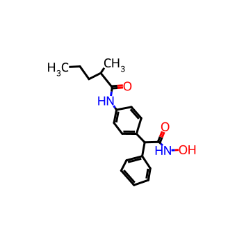 CCCC(C)C(=O)Nc1ccc(C(C(=O)NO)c2ccccc2)cc1